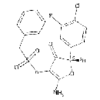 [2H][C@@]1(c2ccc(Cl)c(F)c2)OC(N)=C(OS(=O)(=O)Cc2ccccc2)C1=O